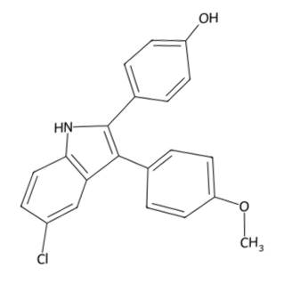 COc1ccc(-c2c(-c3ccc(O)cc3)[nH]c3ccc(Cl)cc23)cc1